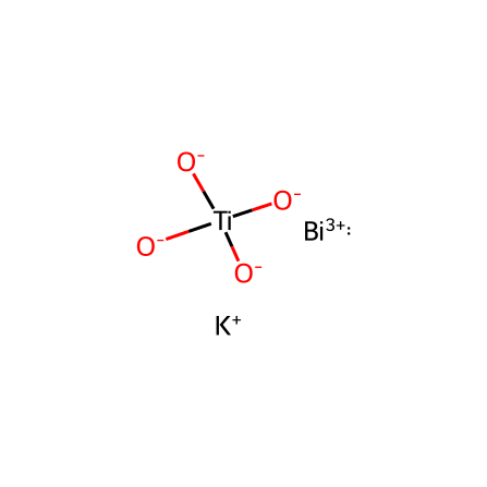 [Bi+3].[K+].[O-][Ti]([O-])([O-])[O-]